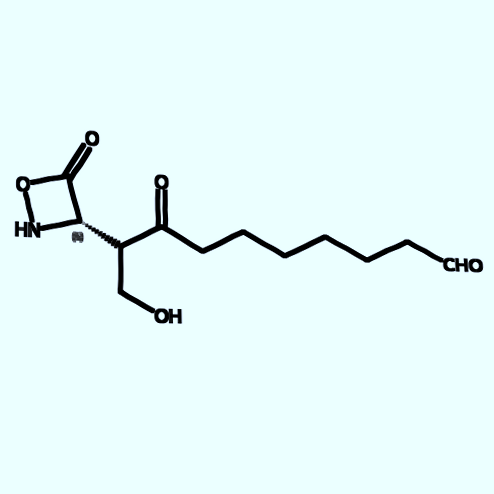 O=CCCCCCCC(=O)C(CO)[C@@H]1NOC1=O